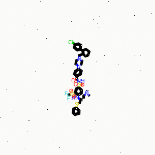 CN(C)CC[C@H](CSc1ccccc1)Nc1ccc(S(=O)(=O)NC(=O)c2ccc(N3CCN(CC4=C(c5ccc(Cl)cc5)CCCC4)CC3)cc2)cc1S(=O)(=O)C(F)F